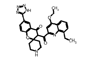 CCOc1cc(C(=O)C2C(=O)c3cc(-c4nnn[nH]4)ccc3OC23CCNCC3)nc2c(CC)cccc12